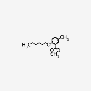 CCCCCCOc1ccc(C)cc1C(=O)OC